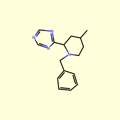 CC1CCN(Cc2ccccc2)C(c2ncncn2)C1